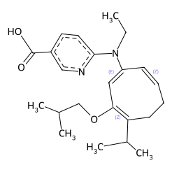 CCN(C1=C/C(OCC(C)C)=C(/C(C)C)CC/C=C\1)c1ccc(C(=O)O)cn1